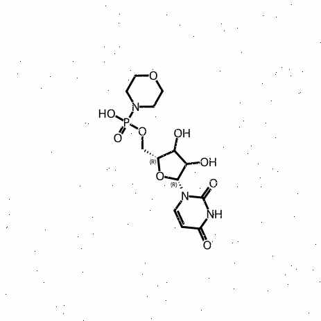 O=c1ccn([C@@H]2O[C@H](COP(=O)(O)N3CCOCC3)C(O)C2O)c(=O)[nH]1